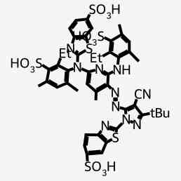 CCc1c(Nc2nc(N(c3nc4ccc(S(=O)(=O)O)cc4s3)c3c(C)cc(C)c(S(=O)(=O)O)c3CC)cc(C)c2N=Nc2c(C#N)c(C(C)(C)C)nn2-c2nc3ccc(S(=O)(=O)O)cc3s2)c(C)cc(C)c1S(=O)(=O)O